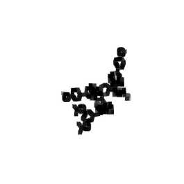 COc1ccc(-c2cnc(N(N)C3CCN(c4ncc(-c5ccc(OC)cc5)cn4)C(C4CCN(Cc5cc(OC(C)C)cc(OC(C)C)c5)CC4)C3)nc2)cc1.Cl.Cl